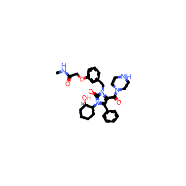 CNC(=O)COc1cccc(Cn2c(C(=O)N3CCNCC3)c(-c3ccccc3)n(C3CCCC[C@H]3O)c2=O)c1